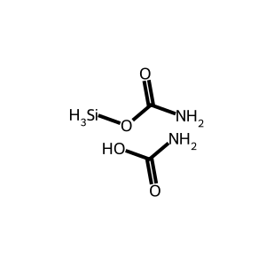 NC(=O)O.NC(=O)O[SiH3]